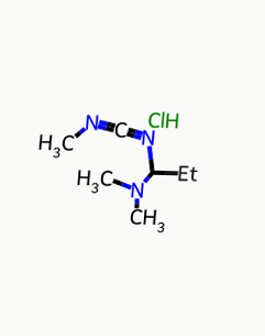 CCC(N=C=NC)N(C)C.Cl